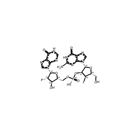 Nc1nc2c(ncn2[C@@H]2O[C@H](CO)[C@@H](F)[C@H]2O[P@](=O)(S)OC[C@H]2O[C@@H](n3cnc4c(=O)[nH]cnc43)[C@@H](F)[C@@H]2O)c(=O)[nH]1